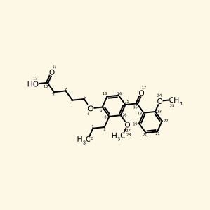 CCCc1c(OCCCCC(=O)O)ccc(C(=O)c2ccccc2OC)c1OC